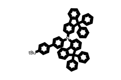 CC(C)(C)c1ccc(-c2ccc(N(c3ccc4c(c3)C(c3ccccc3)(c3ccccc3)c3ccccc3-4)c3cccc4c3-c3ccccc3C4(c3ccccc3)c3ccccc3)cc2)cc1